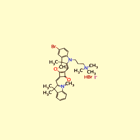 Br.C[N+]1=C(/C=C2\C(=O)C(/C=C3/N(CCC[N+](C)(C)C)c4ccc(Br)cc4C3(C)C)=C2[O-])C(C)(C)c2ccccc21.[I-]